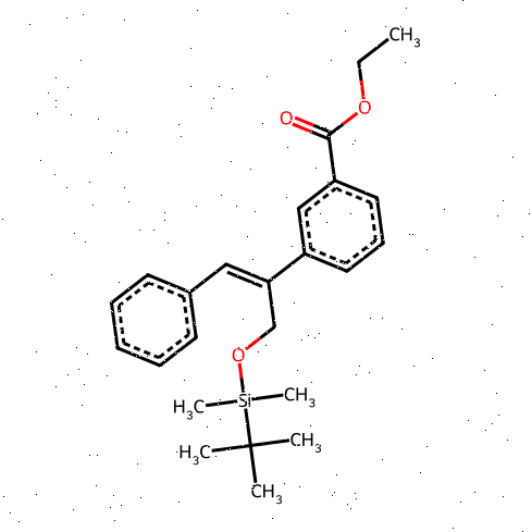 CCOC(=O)c1cccc(C(=Cc2ccccc2)CO[Si](C)(C)C(C)(C)C)c1